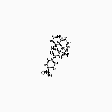 N#CC(CC(=O)c1ccc([N+](=O)[O-])cc1)(c1cccc2ncccc12)C(F)(F)F